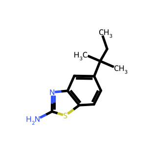 CCC(C)(C)c1ccc2sc(N)nc2c1